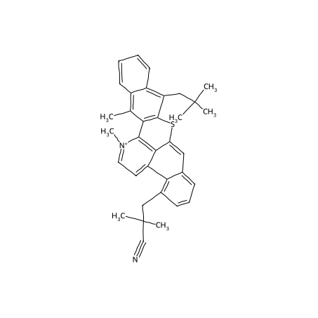 Cc1c2c(c(CC(C)(C)C)c3ccccc13)Sc1cc3cccc(CC(C)(C)C#N)c3c3cc[n+](C)c-2c13